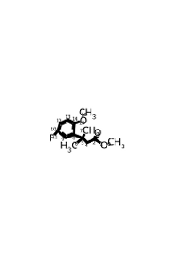 COC(=O)CC(C)(C)c1cc(F)ccc1OC